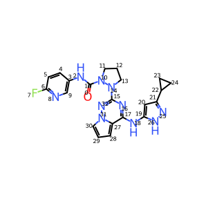 O=C(Nc1ccc(F)nc1)N1CCCN1c1nc(Nc2cc(C3CC3)n[nH]2)c2cccn2n1